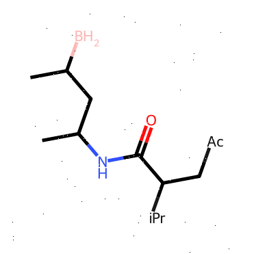 BC(C)CC(C)NC(=O)C(CC(C)=O)C(C)C